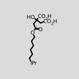 CC(C)CCCCCCOC(=O)CC(O)(CC(=O)O)C(=O)O